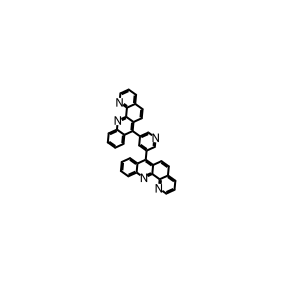 c1cnc2c(c1)ccc1c(-c3cncc(-c4c5ccccc5nc5c4ccc4cccnc45)c3)c3ccccc3nc12